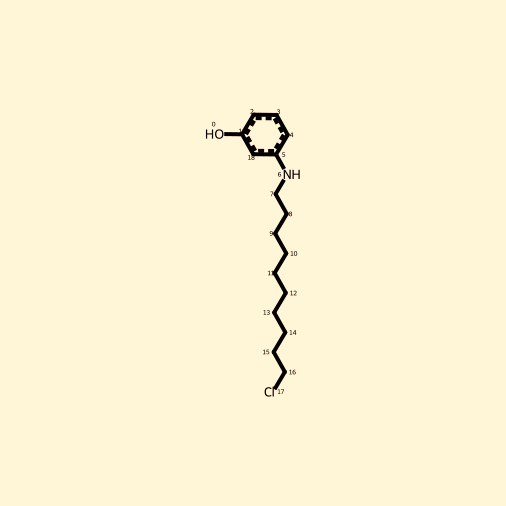 Oc1cccc(NCCCCCCCCCCCl)c1